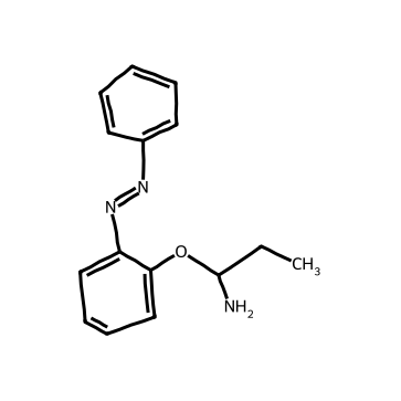 CCC(N)Oc1ccccc1N=Nc1ccccc1